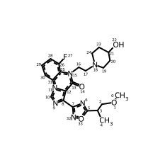 COCC(C)c1nc(-c2ncn3c2c(=O)n(CCN2CCC(O)CC2)c2c(F)cccc23)no1